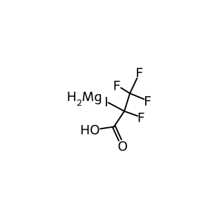 O=C(O)C(F)(I)C(F)(F)F.[MgH2]